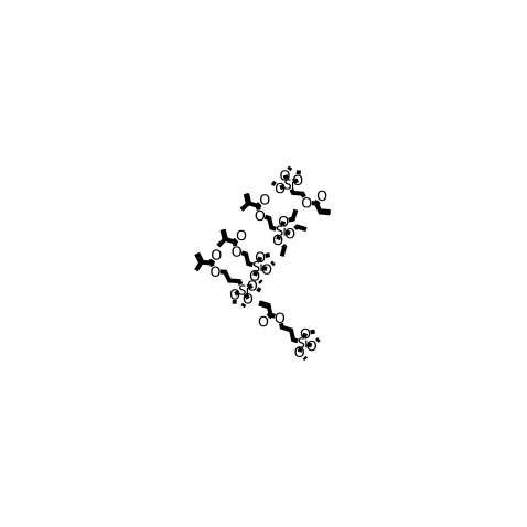 C=C(C)C(=O)OCCC[Si](OC)(OC)OC.C=C(C)C(=O)OCC[Si](OC)(OC)OC.C=C(C)C(=O)OCC[Si](OCC)(OCC)OCC.C=CC(=O)OCCC[Si](OC)(OC)OC.C=CC(=O)OCC[Si](OC)(OC)OC